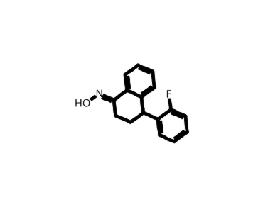 O/N=C1\CCC(c2ccccc2F)c2ccccc21